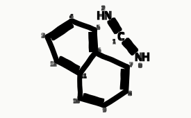 N=C=N.c1ccc2ccccc2c1